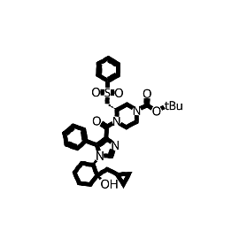 CC(C)(C)OC(=O)N1CCN(C(=O)c2ncn([C@@H]3CCCC[C@@]3(O)CC3CC3)c2-c2ccccc2)[C@H](CS(=O)(=O)c2ccccc2)C1